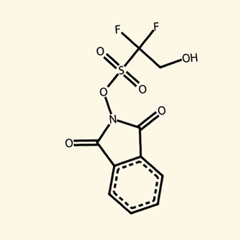 O=C1c2ccccc2C(=O)N1OS(=O)(=O)C(F)(F)CO